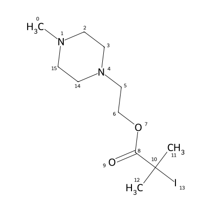 CN1CCN(CCOC(=O)C(C)(C)I)CC1